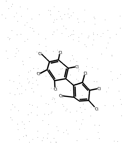 Clc1cc(Cl)c(-c2c(Cl)c(Cl)c(Cl)c(Cl)c2Cl)c(Cl)c1Cl